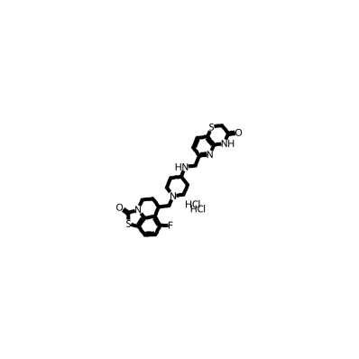 Cl.Cl.O=C1CSc2ccc(CNC3CCN(CC4CCn5c(=O)sc6ccc(F)c4c65)CC3)nc2N1